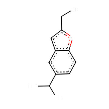 CCc1cc2cc(C(C)C)ccc2o1